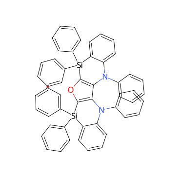 c1ccc(N2c3ccccc3[Si](c3ccccc3)(c3ccccc3)c3oc4c(c32)N(c2ccccc2)c2ccccc2[Si]4(c2ccccc2)c2ccccc2)cc1